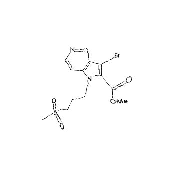 COC(=O)c1c(Br)c2cnccc2n1CCCS(C)(=O)=O